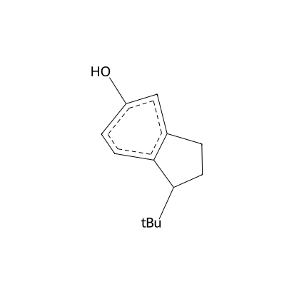 CC(C)(C)C1CCc2cc(O)ccc21